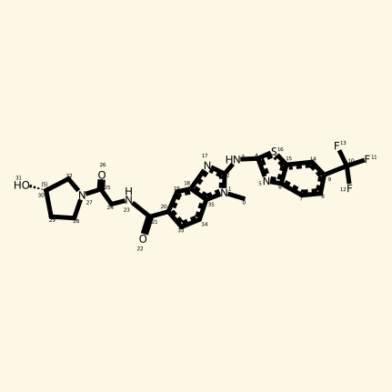 Cn1c(Nc2nc3ccc(C(F)(F)F)cc3s2)nc2cc(C(=O)NCC(=O)N3CC[C@H](O)C3)ccc21